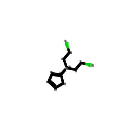 ClC[CH2][Ti]([CH2]CCl)[C]1=CC=CC1